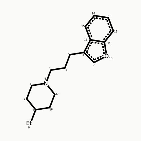 CCC1CCN(CCCc2coc3ccccc23)CC1